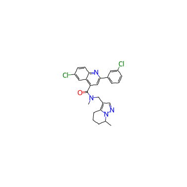 CC1CCCc2c(CN(C)C(=O)c3cc(-c4cccc(Cl)c4)nc4ccc(Cl)cc34)cnn21